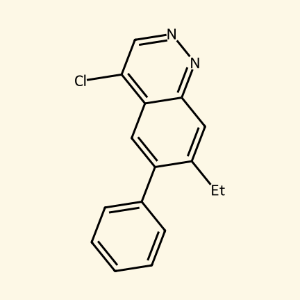 CCc1cc2nncc(Cl)c2cc1-c1ccccc1